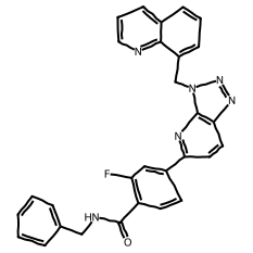 O=C(NCc1ccccc1)c1ccc(-c2ccc3nnn(Cc4cccc5cccnc45)c3n2)cc1F